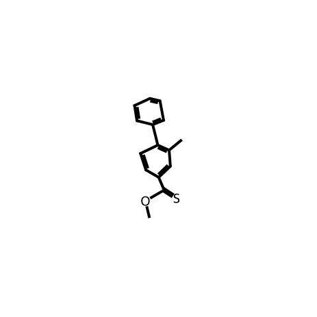 COC(=S)c1ccc(-c2ccccc2)c(C)c1